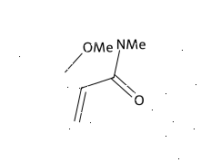 C=CC(=O)NC.COC